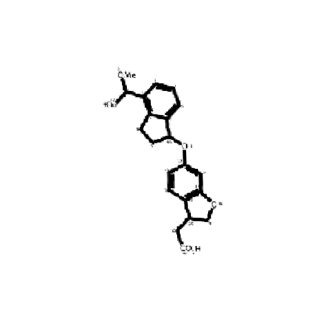 COC(c1cccc2c1CCC2Oc1ccc2c(c1)OCC2CC(=O)O)C(C)(C)C